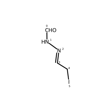 O=CN/N=C/CI